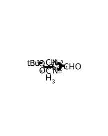 CC(C)(C)OC(=O)C(C)(C)c1ncc(C=O)cn1